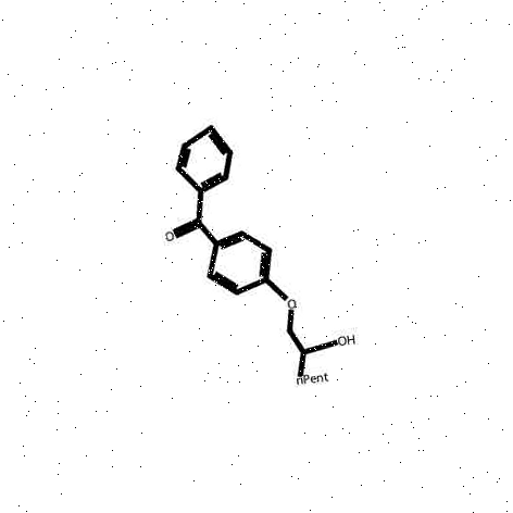 CCCCCC(O)COc1ccc(C(=O)c2ccccc2)cc1